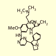 C=CC(=O)Nc1cc(Nc2nccc(-c3c4n(c5ccccc35)CC4)n2)c(OC)cc1N(C)CCN(C)C